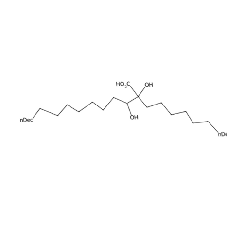 CCCCCCCCCCCCCCCCCC(O)C(O)(CCCCCCCCCCCCCCCC)C(=O)O